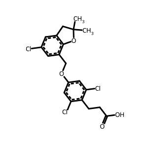 CC1(C)Cc2cc(Cl)cc(COc3cc(Cl)c(CCC(=O)O)c(Cl)c3)c2O1